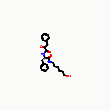 O=C(Cc1ccccc1)C(=O)N[C@@H](Cc1ccccc1)C(=O)NCCCCCCO